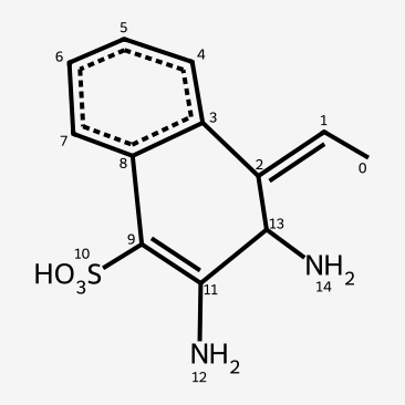 CC=C1c2ccccc2C(S(=O)(=O)O)=C(N)C1N